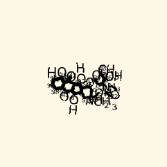 CC(O)[C@]1(N)Cc2c(O)c3c(c(O)c2[C@@H](O[C@H]2C[C@H](N4CCOCC4)[C@H](O)[C@H](C)O2)C1)C(=O)c1c(O)cccc1C3=O